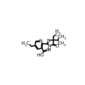 CCc1cnc(C2=NC(CC)(C(C)C)C(=O)N2)c(C(=O)O)c1